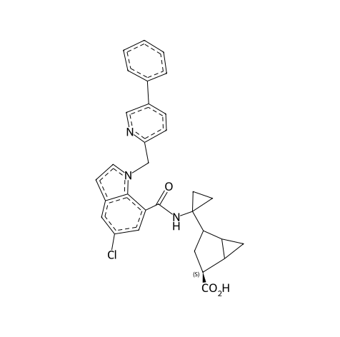 O=C(NC1(C2C[C@H](C(=O)O)C3CC32)CC1)c1cc(Cl)cc2ccn(Cc3ccc(-c4ccccc4)cn3)c12